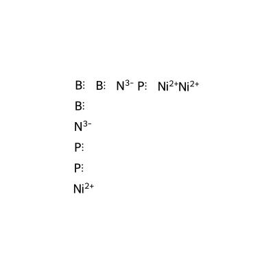 [B].[B].[B].[N-3].[N-3].[Ni+2].[Ni+2].[Ni+2].[P].[P].[P]